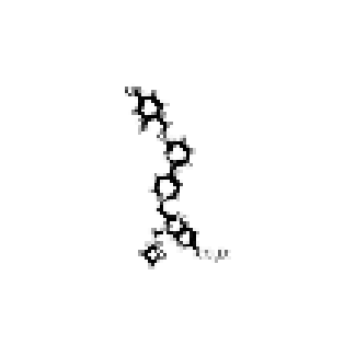 CCOC(=O)c1cc2nc(CN3CC=C(c4cccc(OCc5ccc(Cl)cc5F)n4)CC3)n(C[C@@H]3CCO3)c2s1